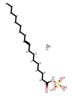 CCCCCCCCC=CCCCCCCCC(=O)OS(=O)(=O)O.[Zn]